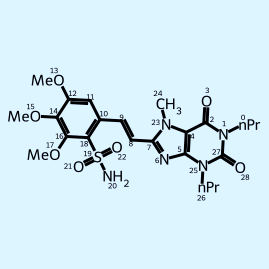 CCCn1c(=O)c2c(nc(C=Cc3cc(OC)c(OC)c(OC)c3S(N)(=O)=O)n2C)n(CCC)c1=O